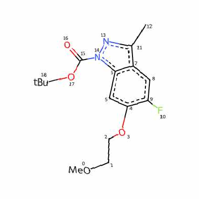 COCCOc1cc2c(cc1F)c(C)nn2C(=O)OC(C)(C)C